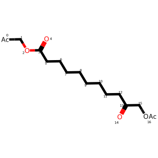 CC(=O)COC(=O)CCCCCCCCC(=O)COC(C)=O